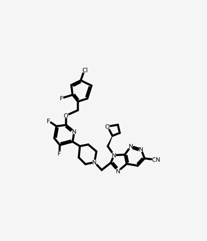 N#Cc1cc2nc(CN3CCC(c4nc(OCc5ccc(Cl)cc5F)c(F)cc4F)CC3)n(C[C@@H]3CCO3)c2nn1